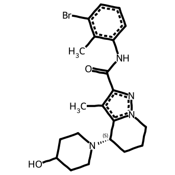 Cc1c(Br)cccc1NC(=O)c1nn2c(c1C)[C@@H](N1CCC(O)CC1)CCC2